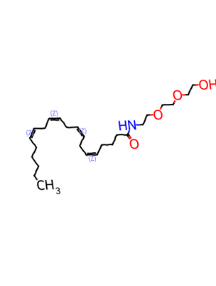 CCCCC/C=C\C/C=C\C/C=C\C/C=C\CCCC(=O)NCCOCCOCCO